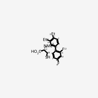 CCc1ccc(-c2ccc(F)cc2F)cc1CC.CN[C@H](CS)C(=O)O